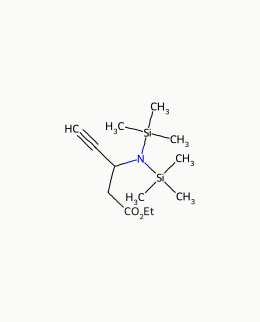 C#CC(CC(=O)OCC)N([Si](C)(C)C)[Si](C)(C)C